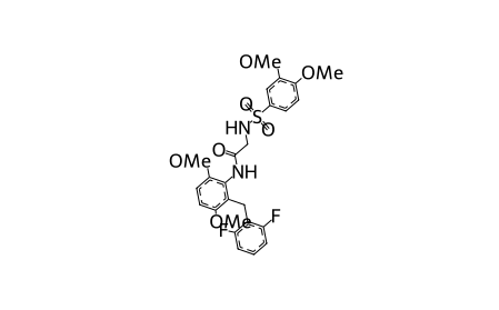 COc1ccc(S(=O)(=O)NCC(=O)Nc2c(OC)ccc(OC)c2Cc2c(F)cccc2F)cc1OC